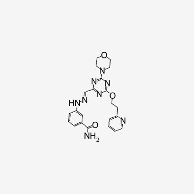 NC(=O)c1cccc(N/N=C/c2nc(OCCc3ccccn3)nc(N3CCOCC3)n2)c1